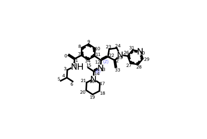 C=C(NCC(C)C)c1cccc(C(/N=C(\C)N2CCCCC2)=C2\CCN(c3cccnc3)C2=C)c1